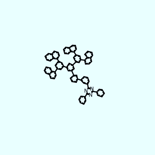 c1ccc(-c2nc(-c3ccccc3)nc(-c3cccc(-c4cccc(-c5cc(-c6cc(-c7cccc8ccccc78)cc(-c7cccc8ccccc78)c6)cc(-c6cc(-c7cccc8ccccc78)cc(-c7cccc8ccccc78)c6)c5)c4)c3)n2)cc1